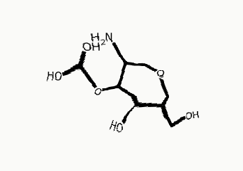 NC1COC(CO)[C@@H](O)C1OC(O)O